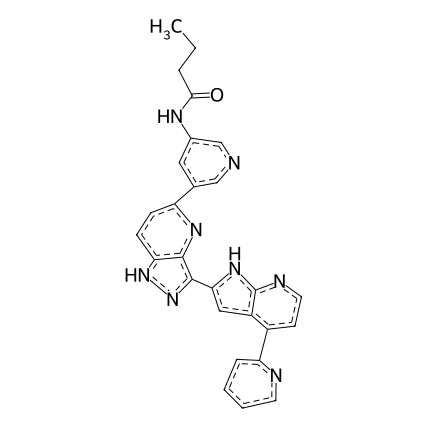 CCCC(=O)Nc1cncc(-c2ccc3[nH]nc(-c4cc5c(-c6ccccn6)ccnc5[nH]4)c3n2)c1